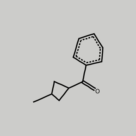 CC1CC(C(=O)c2ccccc2)C1